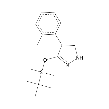 Cc1ccccc1C1CNN=C1O[Si](C)(C)C(C)(C)C